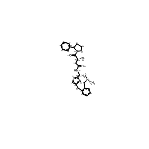 CN(C)Cc1ccccc1Cc1csc(CNC(=O)C[C@@H](O)C(=O)N2CCCC2c2ccccc2)n1